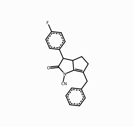 N#CN1C(=O)C(c2ccc(F)cc2)C2CCC(Cc3ccccc3)=C21